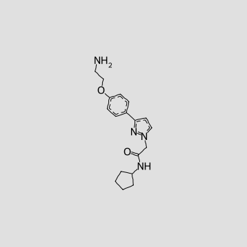 NCCOc1ccc(-c2ccn(CC(=O)NC3CCCC3)n2)cc1